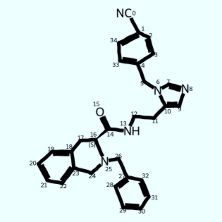 N#Cc1ccc(Cn2cncc2CCNC(=O)[C@@H]2Cc3ccccc3CN2Cc2ccccc2)cc1